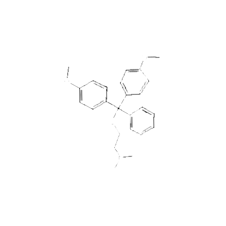 COc1ccc(C(OCCN(C)C)(c2ccccc2)c2ccc(OC)cc2)cc1